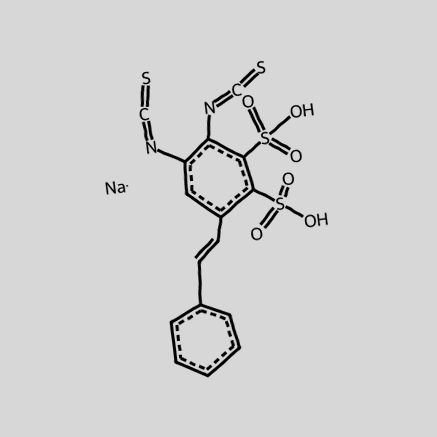 O=S(=O)(O)c1c(C=Cc2ccccc2)cc(N=C=S)c(N=C=S)c1S(=O)(=O)O.[Na]